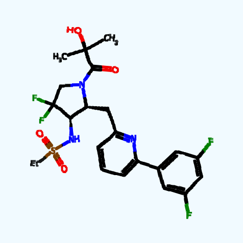 CCS(=O)(=O)N[C@@H]1[C@H](Cc2cccc(-c3cc(F)cc(F)c3)n2)N(C(=O)C(C)(C)O)CC1(F)F